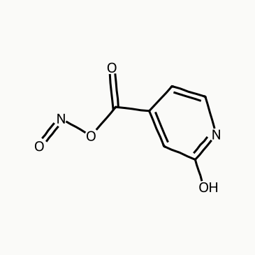 O=NOC(=O)c1ccnc(O)c1